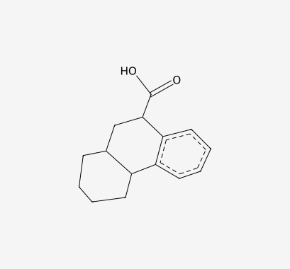 O=C(O)C1CC2CCCCC2c2ccccc21